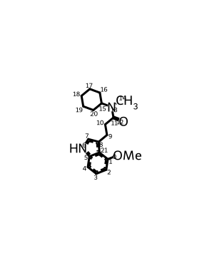 COc1cccc2[nH]cc(CCC(=O)N(C)C3CCCCC3)c12